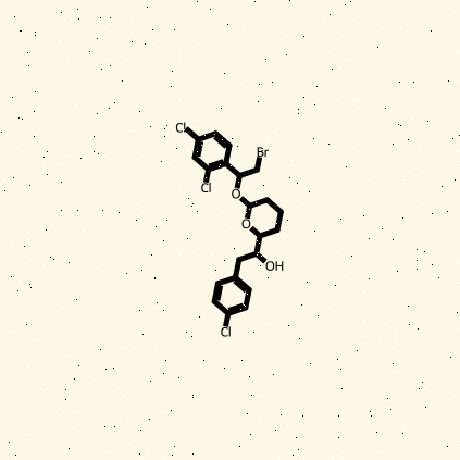 OC(Cc1ccc(Cl)cc1)C1CCCC(OC(CBr)c2ccc(Cl)cc2Cl)O1